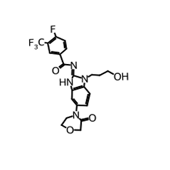 O=C(/N=c1\[nH]c2cc(N3CCOCC3=O)ccc2n1CCCO)c1ccc(F)c(C(F)(F)F)c1